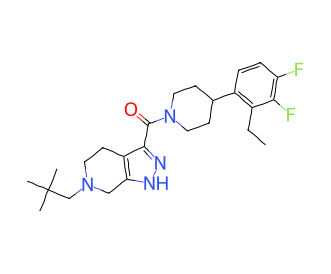 CCc1c(C2CCN(C(=O)c3n[nH]c4c3CCN(CC(C)(C)C)C4)CC2)ccc(F)c1F